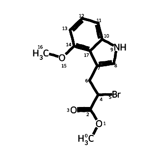 COC(=O)C(Br)Cc1c[nH]c2cccc(OC)c12